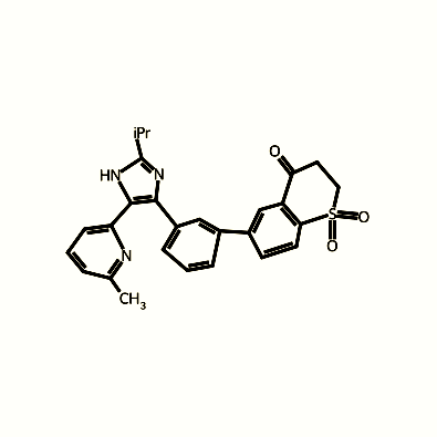 Cc1cccc(-c2[nH]c(C(C)C)nc2-c2cccc(-c3ccc4c(c3)C(=O)CCS4(=O)=O)c2)n1